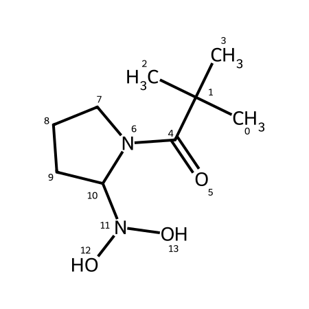 CC(C)(C)C(=O)N1CCCC1N(O)O